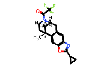 C[C@@H]1[C@H]2Cc3cc4nc(C5CC5)oc4cc3[C@]1(C)CCN2C(=O)C(F)(F)F